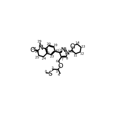 CSCC(C)OCc1cn(C2CCCCO2)nc1-c1ccc2c(c1)CCC(=O)N2C